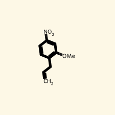 C=CCc1ccc([N+](=O)[O-])cc1OC